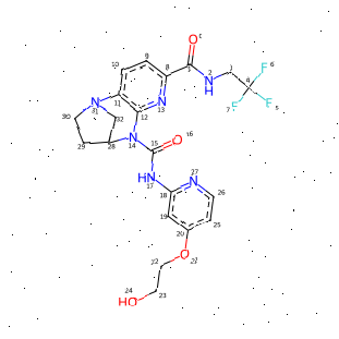 O=C(NCC(F)(F)F)c1ccc2c(n1)N(C(=O)Nc1cc(OCCO)ccn1)C1CCN2C1